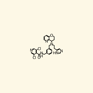 O=C(NCc1cccc(CN(CCc2cnc[nH]2)C2CCOc3cccnc32)c1)c1c(Cl)cncc1Cl